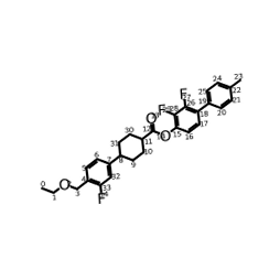 CCOCc1ccc(C2CCC(C(=O)Oc3ccc(-c4ccc(C)cc4)c(F)c3F)CC2)cc1F